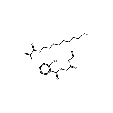 C=C(C)C(=O)OCCCCCCCCCCCCCCCCCC.C=COC(=O)COC(=O)c1ccccc1O